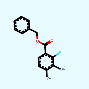 CC(C)c1ccc(C(=O)OCc2ccccc2)c(F)c1C(C)C